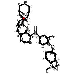 C=CC(=O)N1C2C=C(c3ccc4ncnc(Nc5ccc(Oc6ccc7c(c6)nnn7C)c(C)c5)c4n3)CC1CCC2